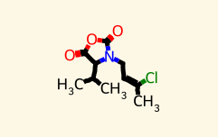 CC(Cl)=CCN1C(=O)OC(=O)C1C(C)C